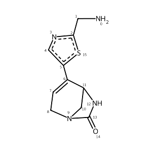 NCc1ncc(C2=CCN3CC2NC3=O)s1